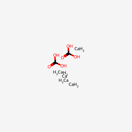 O=C(O)O.O=C(O)O.[CaH2].[CaH2].[CaH2].[CaH2].[CaH2]